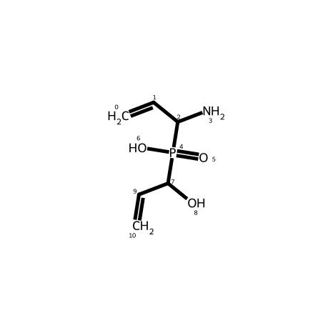 C=CC(N)P(=O)(O)C(O)C=C